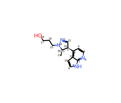 C[C@@H]1[C@H](c2ccnc3[nH]ccc23)C=NN1CCCO